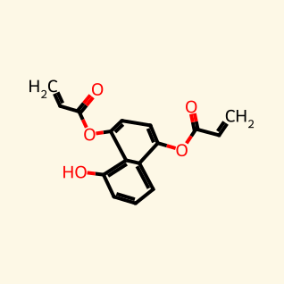 C=CC(=O)Oc1ccc(OC(=O)C=C)c2c(O)cccc12